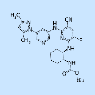 Cc1cc(C)n(-c2cncc(Nc3nc(N[C@@H]4CCCC[C@@H]4NC(=O)OC(C)(C)C)c(F)cc3C#N)c2)n1